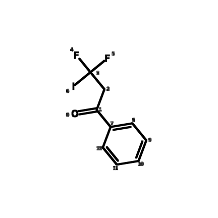 O=C(CC(F)(F)I)c1ccccc1